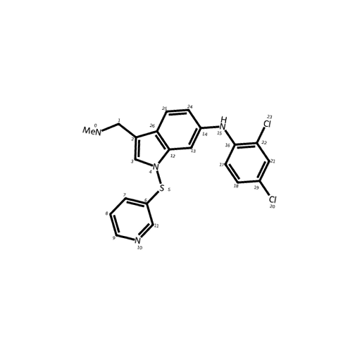 CNCc1cn(Sc2cccnc2)c2cc(Nc3ccc(Cl)cc3Cl)ccc12